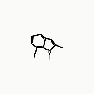 Cc1cc2cccc(I)c2n1I